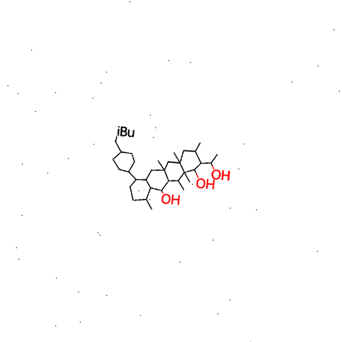 CCC(C)CC1CCC(C2CCC(C)C3C(O)C4C(C)C5(C)C(O)C(C(C)O)C(C)CC5(C)CC4(C)CC23)CC1